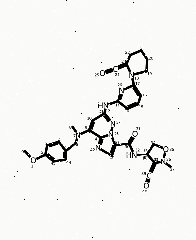 COc1ccc(CN(C)c2cc(Nc3cccc(N4CCCCC4=C=O)n3)nn3c(C(=O)N[C@H]4CON(C)C4=C=O)cnc23)cc1